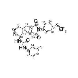 Cc1cccc(NC(=O)Nc2cc(CN3C(=O)N(c4ccc(SC(F)(F)F)cc4)C(=O)C3(C)C)ccn2)c1